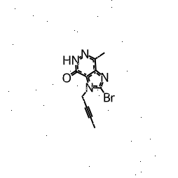 CC#CCn1c(Br)nc2c(C)n[nH]c(=O)c21